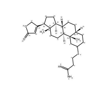 C[C@]12CC(SCCC(=N)N)CC[C@H]1CC[C@@H]1[C@@H]2CC[C@]2(C)[C@@H](C3=CC(=O)OC3)CC[C@@H]12